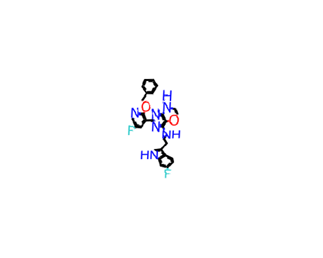 Fc1cnc(OCc2ccccc2)c(-c2nc3c(c(NCCc4c[nH]c5cc(F)ccc45)n2)OCCN3)c1